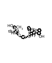 CCc1cccc2cc(O)cc(-c3ncc4c(N5CC6CCC(C5)N6)nc(OCCN5CCC(COCC(=O)NC(C(=O)N6CC(O)CC6C)C(C)(C)C)CC5)nc4c3F)c12